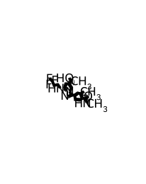 CNC(=O)c1ccc(-c2cnc3c(NCCC(F)(F)F)cc([C@H](C)O)cn23)cc1C